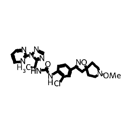 CON1CCC2(CC1)CC(c1ccc(NC(=O)N[C@@H](C)c3ncnn3-c3ncccn3)c(Cl)c1)=NO2